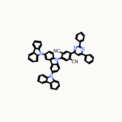 N#Cc1cc(-n2c3ccc(-n4c5ccccc5c5ccccc54)cc3c3cc(-n4c5ccccc5c5ccccc54)ccc32)c(C#N)cc1-c1cc(-c2ccccc2)nc(-c2ccccc2)n1